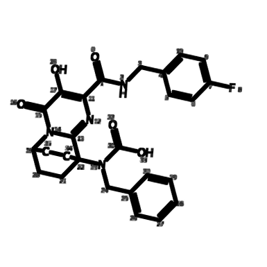 O=C(NCc1ccc(F)cc1)c1nc2n(c(=O)c1O)C1CCC2(N(Cc2ccccc2)C(=O)O)CC1